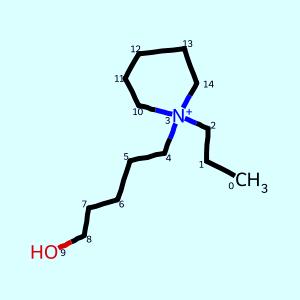 CCC[N+]1(CCCCCO)CCCCC1